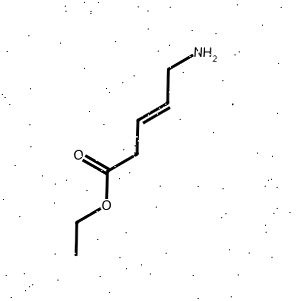 CCOC(=O)C/C=C/CN